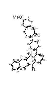 COc1ccc2c(c1)CCN(C1CCN(c3cc(C(=O)N4Cc5ccccc5CC4CO)ncn3)CC1)C(=O)N2